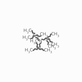 CCC[CH2][Sn]([CH2]CCC)([CH2]CCC)[CH2]CCN(CC[CH2][Sn]([CH2]CCC)([CH2]CCC)[CH2]CCC)CC[CH2][Sn]([CH2]CCC)([CH2]CCC)[CH2]CCC